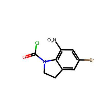 O=C(Cl)N1CCc2cc(Br)cc([N+](=O)[O-])c21